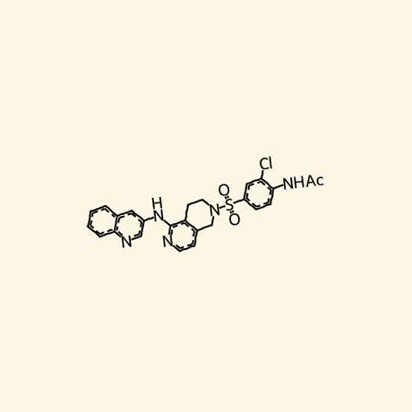 CC(=O)Nc1ccc(S(=O)(=O)N2CCc3c(ccnc3Nc3cnc4ccccc4c3)C2)cc1Cl